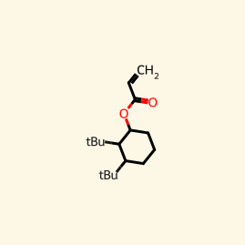 C=CC(=O)OC1CCCC(C(C)(C)C)C1C(C)(C)C